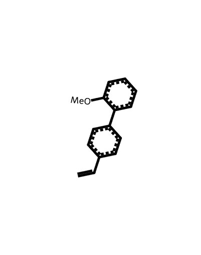 C=Cc1ccc(-c2ccccc2OC)cc1